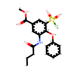 CCCC(=O)Nc1cc(C(=O)OC)cc(S(=O)(=O)Cl)c1Oc1ccccc1